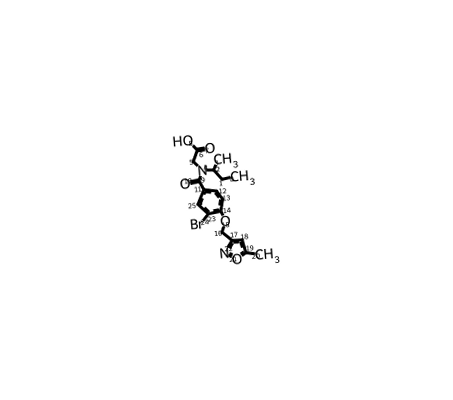 CCC(C)N(CC(=O)O)C(=O)c1ccc(OCc2cc(C)on2)c(Br)c1